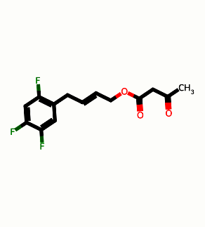 CC(=O)CC(=O)OC/C=C/Cc1cc(F)c(F)cc1F